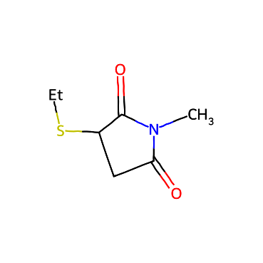 CCSC1CC(=O)N(C)C1=O